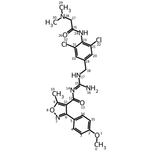 COc1ccc(-c2noc(C)c2C(=O)/N=C(\N)NCc2cc(Cl)c(NC(=O)CN(C)C)c(Cl)c2)cc1